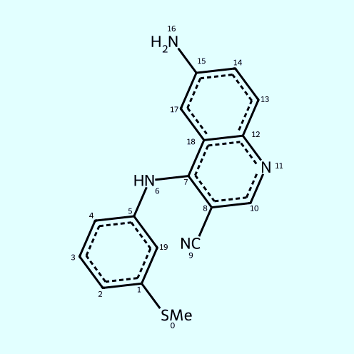 CSc1cccc(Nc2c(C#N)cnc3ccc(N)cc23)c1